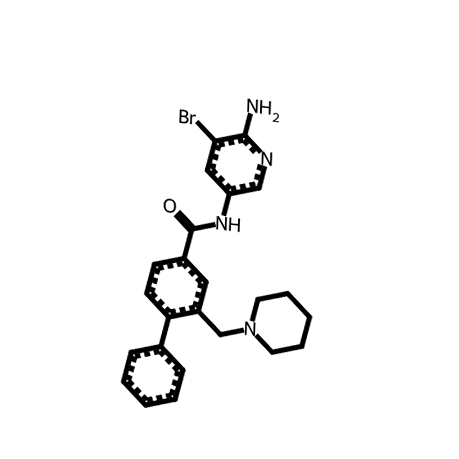 Nc1ncc(NC(=O)c2ccc(-c3ccccc3)c(CN3CCCCC3)c2)cc1Br